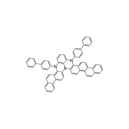 c1ccc(-c2ccc(N3c4cccc5c4B(c4ccc6c(ccc7ccccc76)c43)c3ccc4c(ccc6c7ccccc7ccc46)c3N5c3ccc(-c4ccccc4)cc3)cc2)cc1